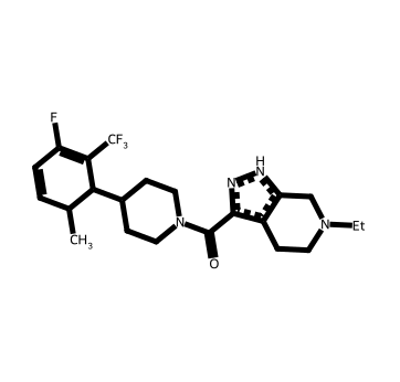 CCN1CCc2c(C(=O)N3CCC(C4C(C(F)(F)F)=C(F)C=CC4C)CC3)n[nH]c2C1